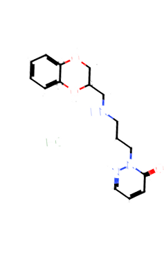 Cl.O=c1cccnn1CCCNCC1COc2ccccc2O1